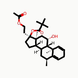 CC(=O)OCC[C@@]1(OC(=O)C(C)(C)C)CC[C@H]2[C@@H]3C[C@H](C)C4=CCC=C[C@]4(C)[C@H]3[C@@H](O)C[C@@]21C